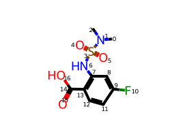 CN(C)S(=O)(=O)Nc1cc(F)ccc1C(=O)O